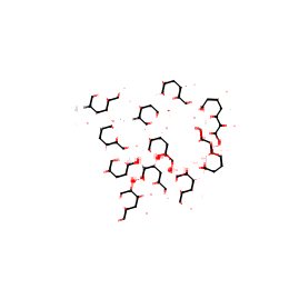 CC(=O)NC1C(O)[C@H](O[C@@H]2OC(CO[C@]3(OC=O)C[C@@H](O)[C@@H](C)C(C(O)C(O)CO)O3)[C@H](O)CC2O)[C@H](CO)O[C@H]1OC1[C@@H](OCC2O[C@@H](O[C@@H]3C(CO)O[C@@H](O[C@@H]4C(CO)O[C@@H](C)C(NC(C)=O)[C@H]4O)C(NC(C)=O)[C@H]3O)C(O)[C@@H](O[C@H]3OC(CO)[C@@H](O)C(O)C3O[C@@H]3OC(CO)[C@@H](O[C@@H]4OC(CO)[C@H](O)[C@H](O[C@]5(OC=O)C[C@@H](O)[C@@H](C)C(C(O)C(O)CO)O5)C4O)[C@H](O)C3NC(C)=O)[C@@H]2O)OC(CO)[C@@H](O)[C@@H]1O